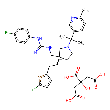 Cc1ccc(C(C)(C)N2CC[C@](CCc3ccc(F)s3)(CNC(=N)Nc3ccc(F)cc3)C2)cn1.O=C(O)CC(O)(CC(=O)O)C(=O)O